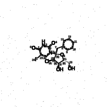 O=c1[nH]c(=O)n([C@]2(Cc3ccccc3)O[C@H](CO)[C@@H](O)[C@H]2Cl)cc1F